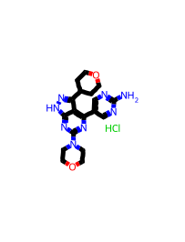 Cl.Nc1ncc(-c2nc(N3CCOCC3)nc3[nH]nc(C4CCOCC4)c23)cn1